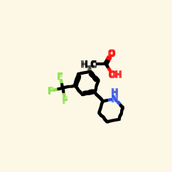 CC(=O)O.FC(F)(F)c1cccc(C2CCCCN2)c1